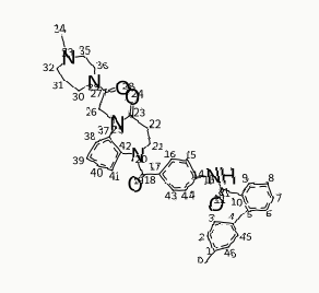 Cc1ccc(-c2ccccc2C(=O)Nc2ccc(C(=O)N3CCC(=O)N(CC(=O)N4CCCN(C)CC4)c4ccccc43)cc2)cc1